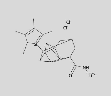 CC1=C(C)C(C)[Si](C2C3CC4(C(=O)[NH][Ti+2])CC25C2C46C4C6(C3)C245)=C1C.[Cl-].[Cl-]